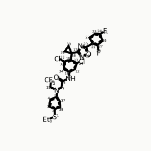 CCSc1ccc(N(CC(=O)Nc2cc(Cl)c(C3(c4noc(-c5ccc(F)cc5F)n4)CC3)c(Cl)c2)CC(F)(F)F)cc1